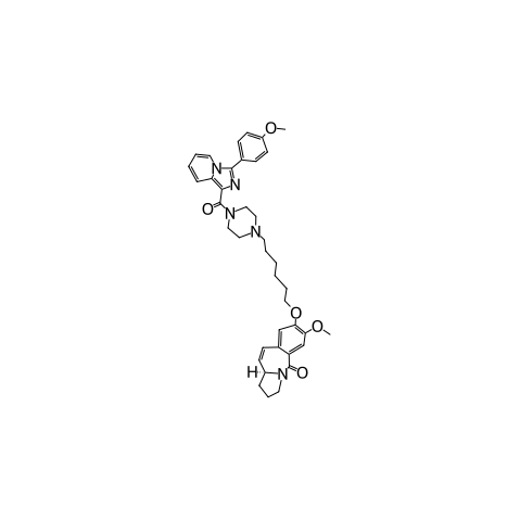 COc1ccc(-c2nc(C(=O)N3CCN(CCCCCCOc4cc5c(cc4OC)C(=O)N4CCC[C@H]4C=C5)CC3)c3ccccn23)cc1